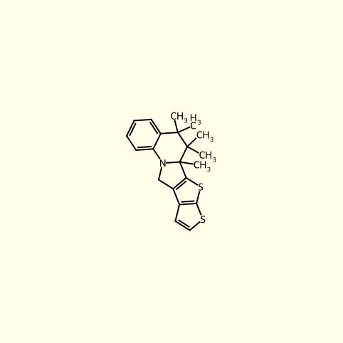 CC1(C)c2ccccc2N2Cc3c(sc4sccc34)C2(C)C1(C)C